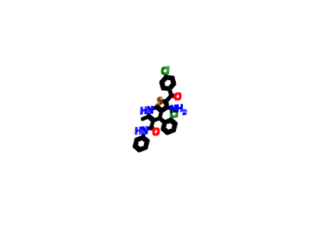 CC1=C(C(=O)Nc2ccccc2)C(c2ccccc2Cl)c2c(sc(C(=O)c3ccc(Cl)cc3)c2N)N1